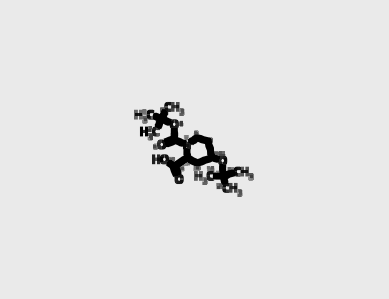 CC(C)(C)OC(=O)N1CCC(OC(C)(C)C)CC1C(=O)O